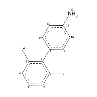 Cc1cccc(C)c1-c1ccc(N)cc1